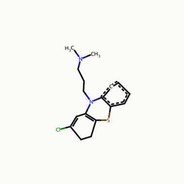 CN(C)CCCN1C2=C(CCC(Cl)=C2)Sc2ccccc21